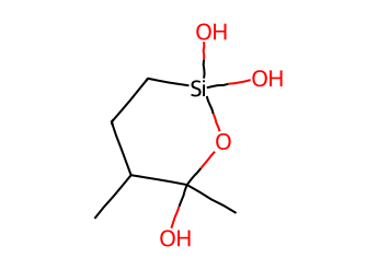 CC1CC[Si](O)(O)OC1(C)O